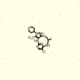 C/C(NC1CCOCC1)=C1\Nc2ncc(Cl)c(n2)NCC(F)COC1=N